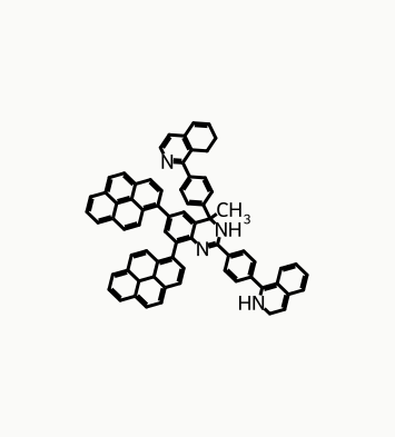 CC1(c2ccc(-c3nccc4c3CCC=C4)cc2)NC(c2ccc(C3=c4ccccc4=CCN3)cc2)=Nc2c(C3=C4C=CC5=CC=CC6=CC=C(C=C3)C4C56)cc(-c3ccc4ccc5cccc6ccc3c4c56)cc21